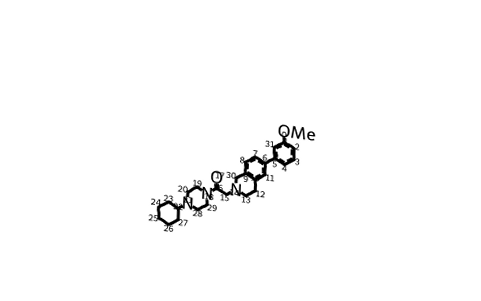 COc1cccc(-c2ccc3c(c2)CCN(CC(=O)N2CCN(C4CCCCC4)CC2)C3)c1